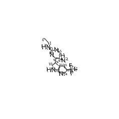 CCNc1ncc(N)c(C2CNc3ncc(C(F)(F)F)cc32)n1